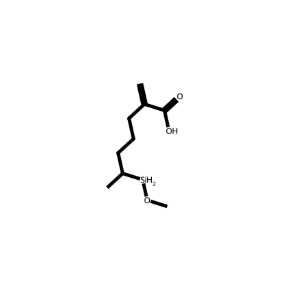 C=C(CCCC(C)[SiH2]OC)C(=O)O